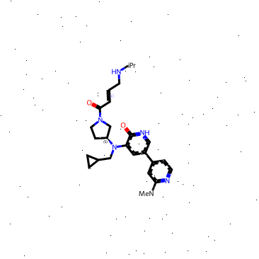 CNc1cc(-c2c[nH]c(=O)c(N(CC3CC3)[C@H]3CCN(C(=O)/C=C/CNC(C)C)C3)c2)ccn1